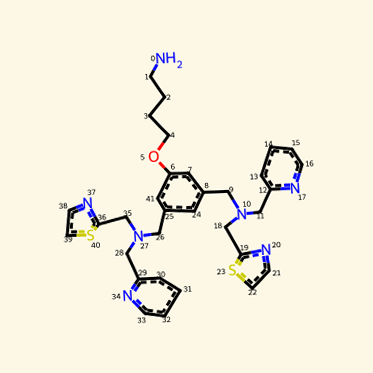 NCCCCOc1cc(CN(Cc2ccccn2)Cc2nccs2)cc(CN(Cc2ccccn2)Cc2nccs2)c1